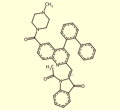 CC(=O)N1/C(=C\c2cc(-c3ccccc3-c3ccccc3)c3cc(C(=O)N4CCN(C)CC4)ccc3n2)C(=O)c2ccccc21